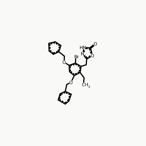 CCc1c(OCc2ccccc2)cc(OCc2ccccc2)c(Br)c1Cc1n[nH]c(=O)o1